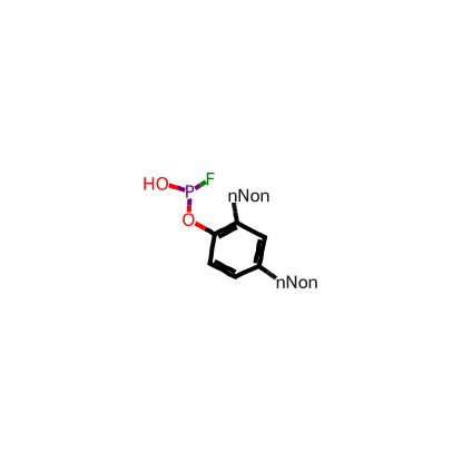 CCCCCCCCCc1ccc(OP(O)F)c(CCCCCCCCC)c1